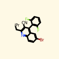 CC(C)Cc1nc2ccc(Br)cc2c(-c2c(F)cccc2F)c1C#N